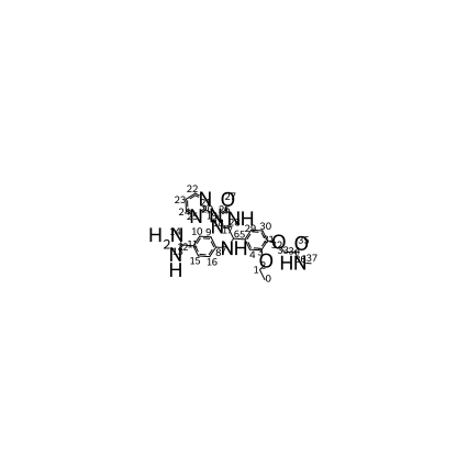 CCOc1cc(C(Nc2ccc(C(=N)N)cc2)c2nn(-c3ncccn3)c(=O)[nH]2)ccc1OCC(=O)NC